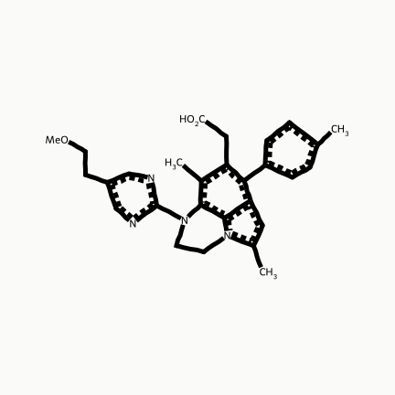 COCCc1cnc(N2CCn3c(C)cc4c(-c5ccc(C)cc5)c(CC(=O)O)c(C)c2c43)nc1